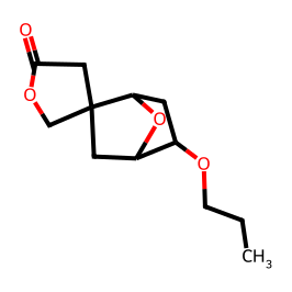 CCCOC1CC2OC1CC21COC(=O)C1